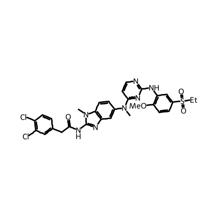 CCS(=O)(=O)c1ccc(OC)c(Nc2nccc(N(C)c3ccc4c(c3)nc(NC(=O)Cc3ccc(Cl)c(Cl)c3)n4C)n2)c1